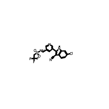 Cn1c(-c2cncc(CNS(=O)(=O)CC(F)(F)F)c2)c(C#N)c2ccc(Cl)cc21